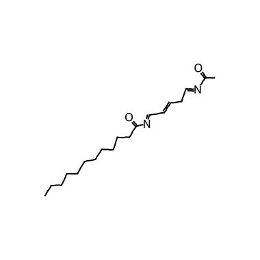 CCCCCCCCCCCC(=O)N=CC=CCC=NC(C)=O